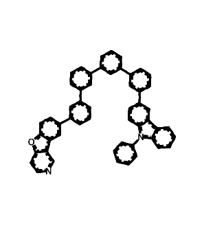 c1ccc(-n2c3ccccc3c3cc(-c4cccc(-c5cccc(-c6cccc(-c7cccc(-c8ccc9oc%10ccncc%10c9c8)c7)c6)c5)c4)ccc32)cc1